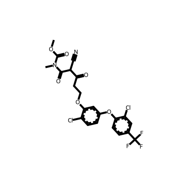 COC(=O)N(C)C(=O)C(C#N)C(=O)CCOc1cc(Oc2ccc(C(F)(F)F)cc2Cl)ccc1Cl